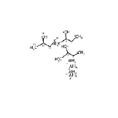 CCC(C)O.CCC(C)O.CCC(C)O.[AlH3].[AlH3].[AlH3].[AlH3]